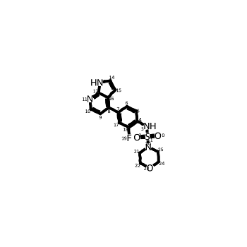 O=S(=O)(Nc1ccc(-c2ccnc3[nH]ccc23)cc1F)N1CCOCC1